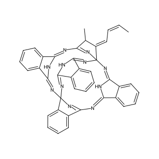 C/C=C\C=C1/C(C)C2=NC13/N=c1\[nH]/c(c4ccccc14)=N\C1=NC(/N=c4\[nH]/c(c5ccccc45)=N\2)(/N=c2\[nH]/c(c4ccccc24)=N\3)c2ccccc21